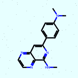 CNc1nc(-c2ccc(N(C)C)cc2)cc2nccnc12